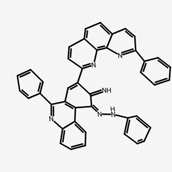 N=C1C(c2ccc3ccc4ccc(-c5ccccc5)nc4c3n2)=Cc2c(-c3ccccc3)nc3ccccc3c2/C1=N/Nc1ccccc1